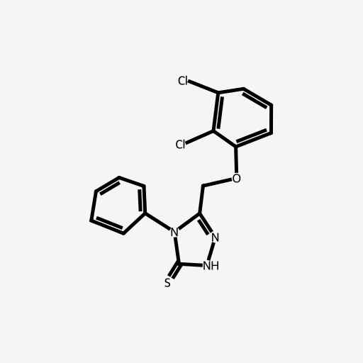 S=c1[nH]nc(COc2cccc(Cl)c2Cl)n1-c1ccccc1